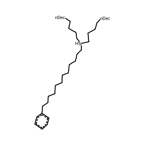 CCCCCCCCCCCCCC[SiH](CCCCCCCCCCCCCC)CCCCCCCCCCCCc1ccccc1